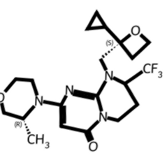 C[C@@H]1COCCN1c1cc(=O)n2c(n1)N(C[C@@]1(C3CC3)CCO1)C(C(F)(F)F)CC2